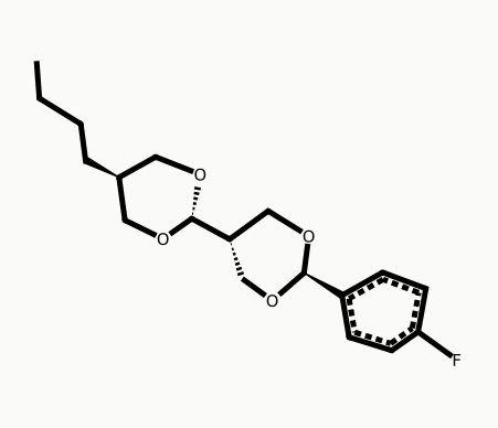 CCCC[C@H]1CO[C@H]([C@H]2CO[C@H](c3ccc(F)cc3)OC2)OC1